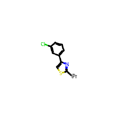 CC(C)c1nc(-c2cccc(Cl)c2)cs1